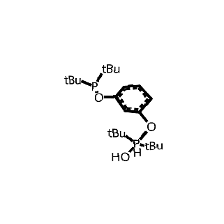 CC(C)(C)P(Oc1cccc(O[PH](O)(C(C)(C)C)C(C)(C)C)c1)C(C)(C)C